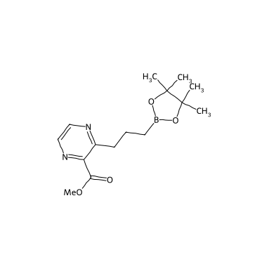 COC(=O)c1nccnc1CCCB1OC(C)(C)C(C)(C)O1